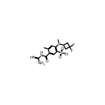 CCS(=O)(=O)c1cc(C(=O)NC(=N)N)c(C)cc1N(C)C1CC(F)(F)C1